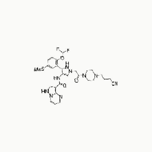 CSc1ccc(OC(F)F)c(C2NN(CC(=O)N3CCN(CCCC#N)CC3)C=C2NC(=O)C2=C3N=CC=CN3NC2)c1